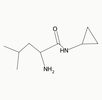 CC(C)CC(N)C(=O)NC1CC1